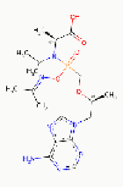 CC(C)=NOP(=O)(CO[C@@H](C)Cn1cnc2c(N)ncnc21)N(C(C)C)[C@@H](C)C(=O)O